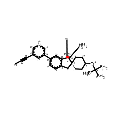 BC(B)(B)O[C@H]1CC[C@]2(CC1)Cc1ccc(-c3cncc(C#CC)c3)cc1C21N=C(C)C(N)=N1